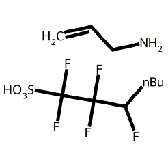 C=CCN.CCCCC(F)C(F)(F)C(F)(F)S(=O)(=O)O